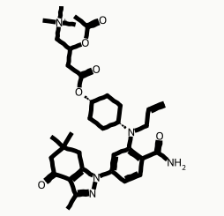 C=CCN(c1cc(-n2nc(C)c3c2CC(C)(C)CC3=O)ccc1C(N)=O)[C@H]1CC[C@@H](OC(=O)CC(C[N+](C)(C)C)OC(C)=O)CC1